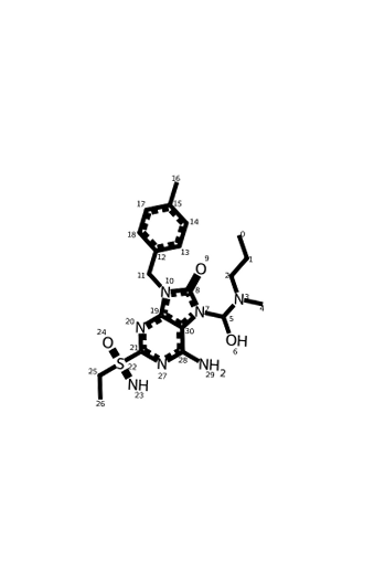 CCCN(C)C(O)n1c(=O)n(Cc2ccc(C)cc2)c2nc(S(=N)(=O)CC)nc(N)c21